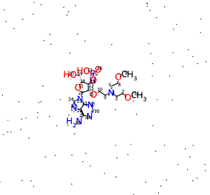 COCCN(CCOC)CCO[C@H]1C(O[PH](=O)O)[C@@H](CO)O[C@H]1n1cnc2c(N)ncnc21